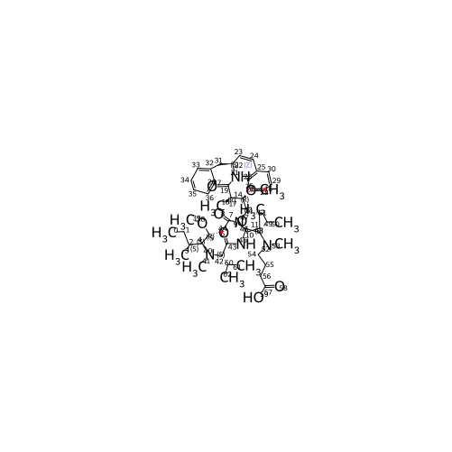 CC[C@H](C)[C@@H]([C@@H](CC(=O)N1CCC[C@H]1[C@H](OC)[C@@H](C)C(=O)N[C@H](/C=C\c1ccccc1)Cc1ccccc1)OC)N(C)[C@H](C(=O)NC(=O)[C@H](C(C)C)N(C)CCCC(=O)O)C(C)C